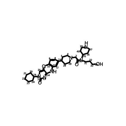 O=C(CN1CCC(c2ccc3c(c2)Nc2nc(=O)n(C4CCCCC4)cc2O3)CC1)N(CCCO)C1CCNCC1